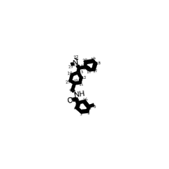 Cc1cccc(C(=O)NCC2CCC(C(c3ccccc3)N(C)C)CC2)c1